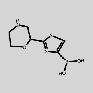 OB(O)c1csc(C2CNCCO2)n1